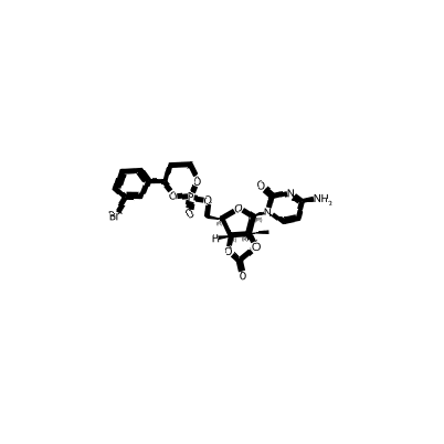 C[C@@]12OC(=O)O[C@@H]1[C@@H](COP1(=O)OCCC(c3cccc(Br)c3)O1)O[C@H]2n1ccc(N)nc1=O